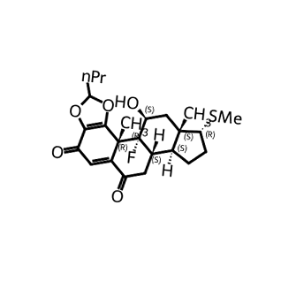 CCCC1OC2=C(O1)[C@@]1(C)C(=CC2=O)C(=O)C[C@H]2[C@@H]3CC[C@@H](SC)[C@@]3(C)C[C@H](O)[C@@]21F